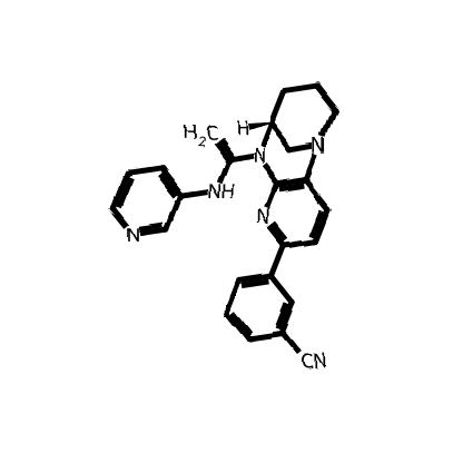 C=C(Nc1cccnc1)N1c2nc(-c3cccc(C#N)c3)ccc2N2CCC[C@@H]1C2